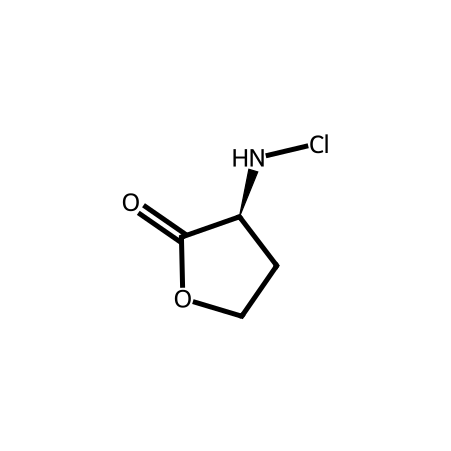 O=C1OCC[C@@H]1NCl